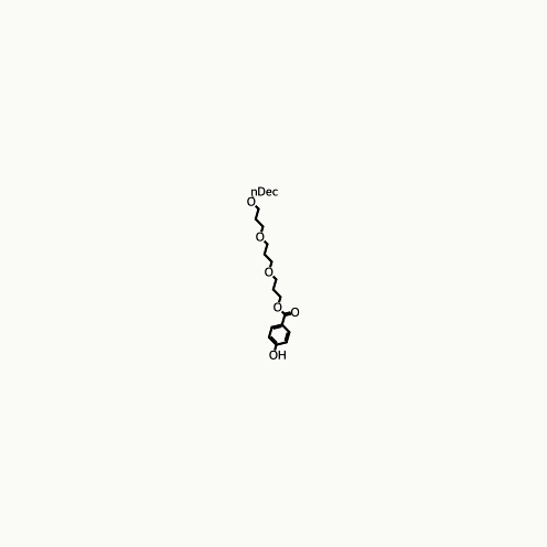 CCCCCCCCCCOCCCOCCCOCCCOC(=O)c1ccc(O)cc1